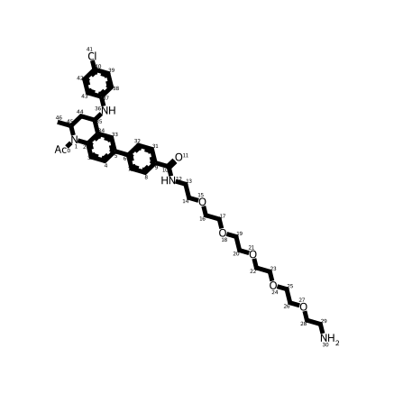 CC(=O)N1c2ccc(-c3ccc(C(=O)NCCOCCOCCOCCOCCOCCN)cc3)cc2C(Nc2ccc(Cl)cc2)CC1C